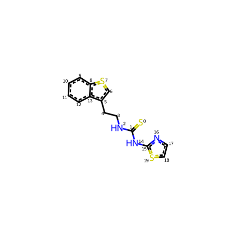 S=C(NCCc1csc2ccccc12)Nc1nccs1